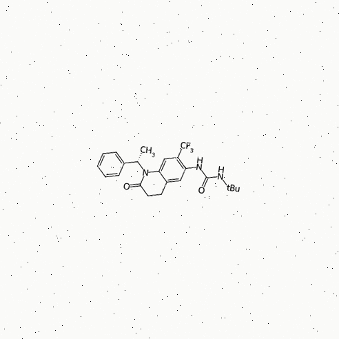 C[C@@H](c1ccccc1)N1C(=O)CCc2cc(NC(=O)NC(C)(C)C)c(C(F)(F)F)cc21